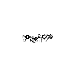 Cn1ccnc1CN1CCC(NC(=O)c2cc3c(Nc4ccc(F)c(Cl)c4)ncnc3s2)CC1